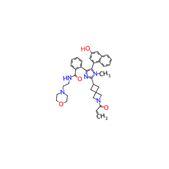 C=CC(=O)N1CC2(CC(c3nc(-c4ccccc4C(=O)NCCN4CCOCC4)c(-c4cc(O)cc5ccccc45)n3C)C2)C1